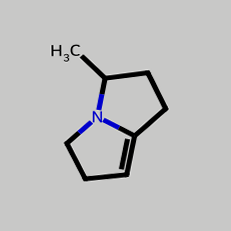 CC1CCC2=CCCN21